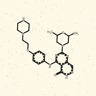 CC1CN(c2nc(Nc3ccc(OCCN4CCNCC4)cc3)c3c(=O)[nH]ncc3n2)CC(C)O1